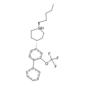 CCCCC[Si@H]1CC[C@H](c2ccc(-c3ccccc3)c(OC(F)(F)F)c2)CC1